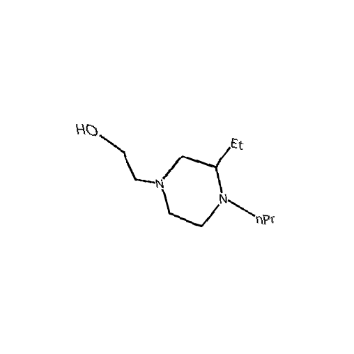 CCCN1CCN(CCO)CC1CC